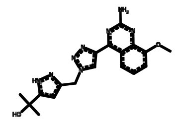 COc1cccc2c(-c3cn(Cc4cc(C(C)(C)O)[nH]n4)nn3)nc(N)nc12